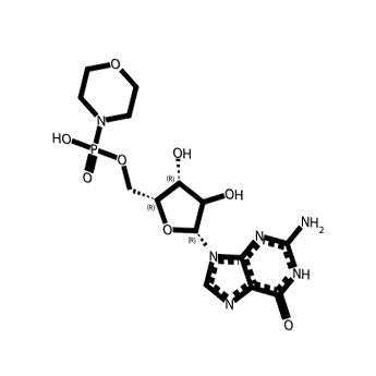 Nc1nc2c(ncn2[C@@H]2O[C@H](COP(=O)(O)N3CCOCC3)[C@H](O)C2O)c(=O)[nH]1